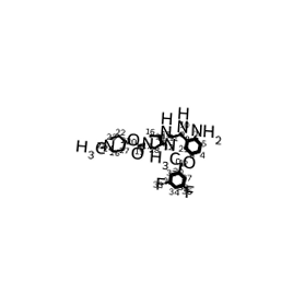 CC(Oc1ccc(N)c(C(=N)c2nc3c([nH]2)CN(C(=O)OC2CCN(C)CC2)C3)c1)c1cc(F)cc(F)c1